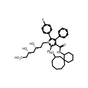 CC(C)c1c(C(=O)NC2CCCCC23CCCCCC(O)C3)c(-c2ccccc2)c(-c2ccc(F)cc2)n1CC[C@@H](O)C[C@@H](O)CC(=O)O